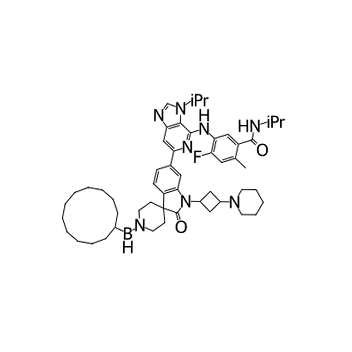 Cc1cc(F)c(Nc2nc(-c3ccc4c(c3)N(C3CC(N5CCCCC5)C3)C(=O)C43CCN(BC4CCCCCCCCCCC4)CC3)cc3ncn(C(C)C)c23)cc1C(=O)NC(C)C